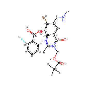 CNCc1cc2c(=O)n(COC(=O)C(C)(C)C)c(C)nc2cc1Br.O=C(O)c1ccccc1F